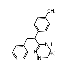 Cc1ccc(C(Cc2ccccc2)C2=NNCCN2)cc1.Cl